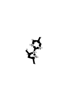 Cc1cnc(-n2nc(C)cc2C)nc1